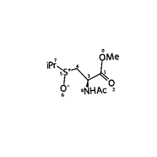 COC(=O)[C@H](C[S+]([O-])C(C)C)NC(C)=O